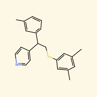 Cc1cc(C)cc(SCC(c2ccncc2)c2cccc(C)c2)c1